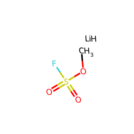 COS(=O)(=O)F.[LiH]